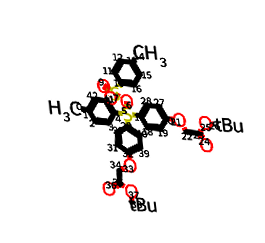 Cc1ccc(S(OS(=O)(=O)c2ccc(C)cc2)(c2ccc(OCC(=O)OC(C)(C)C)cc2)c2ccc(OCC(=O)OC(C)(C)C)cc2)cc1